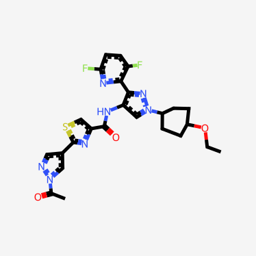 CCOC1CCC(n2cc(NC(=O)c3csc(-c4cnn(C(C)=O)c4)n3)c(-c3nc(F)ccc3F)n2)CC1